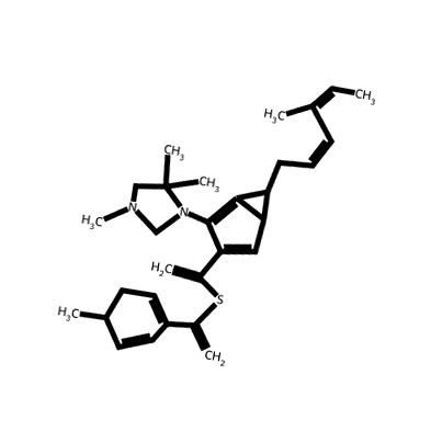 C=C(SC(=C)C1=CC2C(=C1N1CN(C)CC1(C)C)C2C/C=C\C(C)=C/C)C1=CCC(C)C=C1